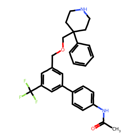 CC(=O)Nc1ccc(-c2cc(COCC3(c4ccccc4)CCNCC3)cc(C(F)(F)F)c2)cc1